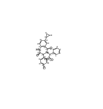 O=C(O)C(c1ccccc1)N1C(=O)c2cc(C3CC3)ccc2NC(=O)C1c1ccc(Cl)cc1